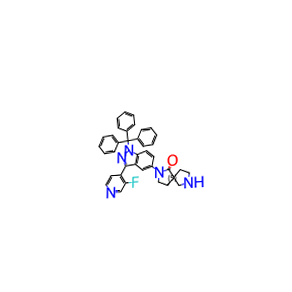 O=C1N(c2ccc3c(c2)c(-c2ccncc2F)nn3C(c2ccccc2)(c2ccccc2)c2ccccc2)CC[C@]12CCNC2